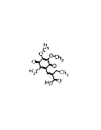 CC/C(=C\C1=C(C)C(=O)C(OC)=C(OC)C1=O)C(=O)O